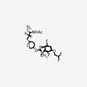 CC(=O)N[C@H](C)C(F)(F)C[C@H]1CC[C@H](Oc2nc3c(F)cc(OCC(F)F)c(F)c3n2C)CO1